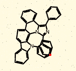 c1ccc(-c2nc(-c3ccccc3)n3c2c2ccccc2c2ccc4c5ccccc5n(-c5ccccc5)c4c23)cc1